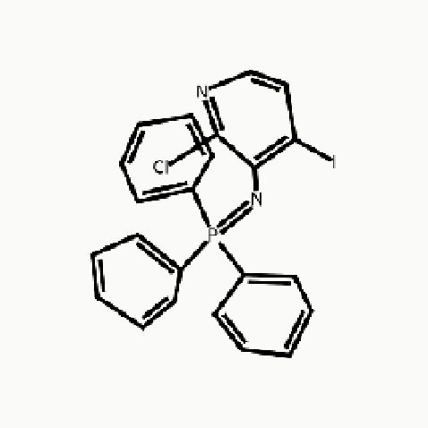 Clc1nccc(I)c1N=P(c1ccccc1)(c1ccccc1)c1ccccc1